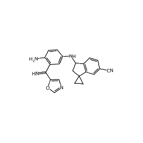 N#Cc1ccc2c(c1)C1(CC1)CC2Nc1ccc(N)c(C(=N)c2cnco2)c1